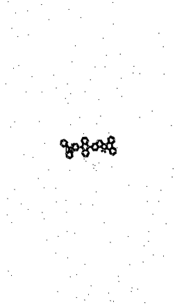 CC1(C)c2c(ccc3cc(-c4c5ccccc5c(-c5ccc6c(c5)c5ccccc5n6-c5ccccc5)c5ccccc45)ccc23)-c2c1c1ccccc1c1ccccc21